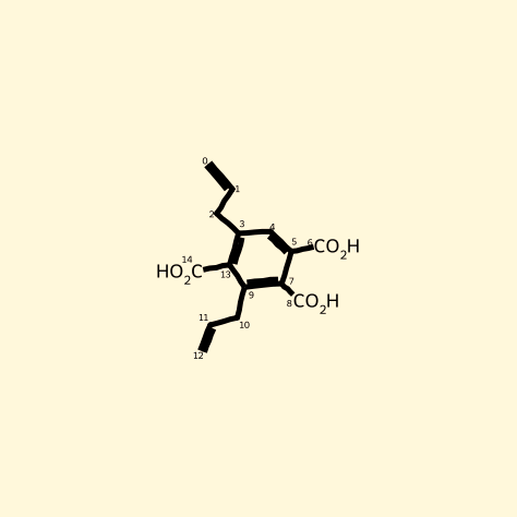 C=CCc1cc(C(=O)O)c(C(=O)O)c(CC=C)c1C(=O)O